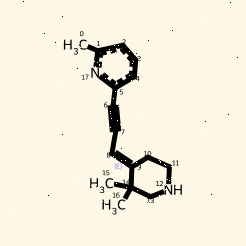 Cc1cccc(C#C/C=C2\CCNCC2(C)C)n1